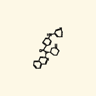 O=C(c1ccc(Nc2cccnc2)cc1)N(c1cc2ccccc2cn1)[C@@H]1CCCNC1